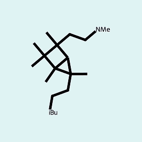 CCC(C)CCC1(C)C2C(C)(CCNC)C(C)(C)C21C